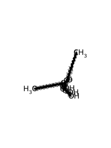 CCCCCCCCCCCCCCCCCC(=O)OC[C@H](COP(=O)(O)OCCC(O)CO)OC(=O)CCCCCCCCCCCCCCCCC